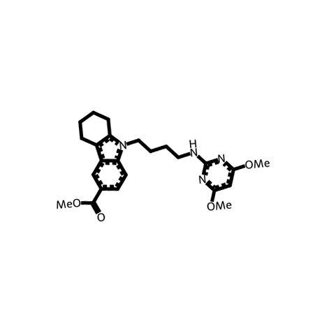 COC(=O)c1ccc2c(c1)c1c(n2CCCCNc2nc(OC)cc(OC)n2)CCCC1